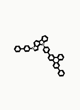 c1ccc(-c2ccc(-n3ccc4c3ccc3c5ccccc5n(-c5ccc(-c6ccc7c8ccc(-c9ccccc9)cc8c8ccccc8c7c6)cc5)c34)cc2)cc1